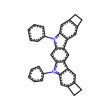 c1ccc(-n2c3cc4c(cc3c3cc5c6cc7c(cc6n(-c6ccccc6)c5cc32)CC7)CC4)cc1